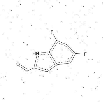 O=[C]c1cc2cc(F)cc(F)c2[nH]1